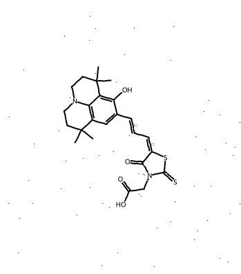 CC1(C)CCN2CCC(C)(C)c3c(O)c(/C=C/C=C4/SC(=S)N(CC(=O)O)C4=O)cc1c32